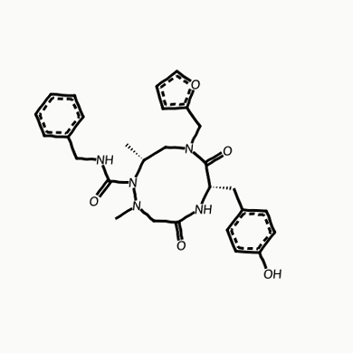 C[C@@H]1CN(Cc2ccco2)C(=O)[C@H](Cc2ccc(O)cc2)NC(=O)CN(C)N1C(=O)NCc1ccccc1